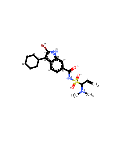 C=CC(N(C)C)S(=O)(=O)NC(=O)c1ccc2c(C3CCCCC3)c(Br)[nH]c2c1